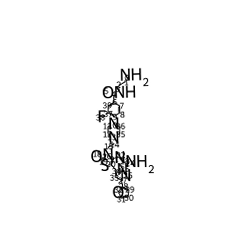 NCCNC(=O)c1ccc(N2CCN(CCn3c(=O)sc4c3nc(N)n3nc(-c5ccco5)cc43)CC2)c(F)c1